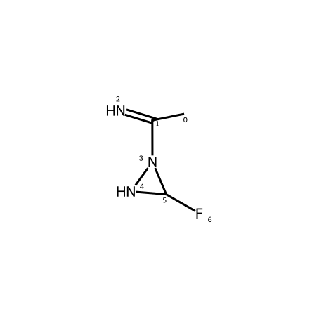 CC(=N)N1NC1F